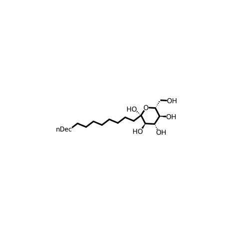 CCCCCCCCCCCCCCCCCC[C@@]1(O)O[C@H](CO)[C@@H](O)[C@H](O)[C@H]1O